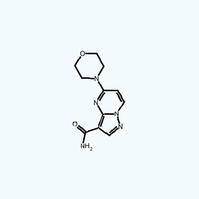 NC(=O)c1cnn2ccc(N3CCOCC3)nc12